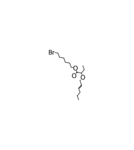 CCC/C=C/COC(CC)C(=O)OCCCCCCBr